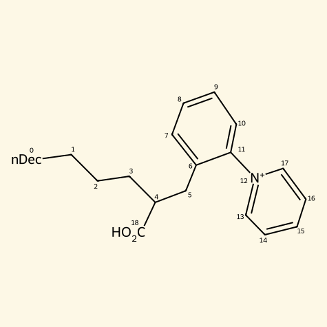 CCCCCCCCCCCCCC(Cc1ccccc1-[n+]1ccccc1)C(=O)O